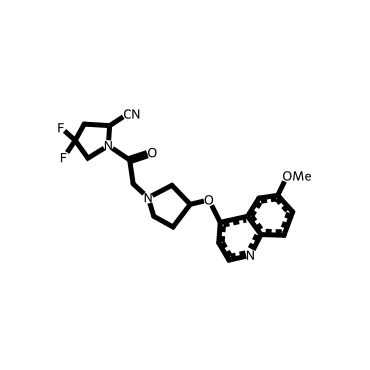 COc1ccc2nccc(OC3CCN(CC(=O)N4CC(F)(F)CC4C#N)C3)c2c1